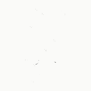 CCOc1cc(-c2ccc(N3C[C@H](N(C)C(=O)OC(C)(C)C)C[C@H](C(F)(F)F)C3)nc2)c2c(C#N)cnn2c1